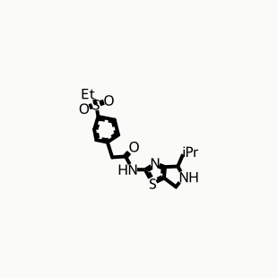 CCS(=O)(=O)c1ccc(CC(=O)Nc2nc3c(s2)CNC3C(C)C)cc1